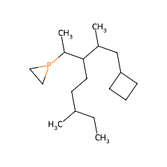 CCC(C)CCC(C(C)CC1CCC1)C(C)P1CC1